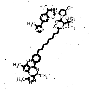 Cc1ncsc1-c1ccc(C(C)NC(=O)[C@@H]2C[C@@H](O)CN2C(=O)C(NC(=O)CCCCCCCCc2ccc(C3=N[C@@H](C)c4nnc(C)n4-c4sc(C)c(C)c43)cc2)C(C)(C)C)cc1